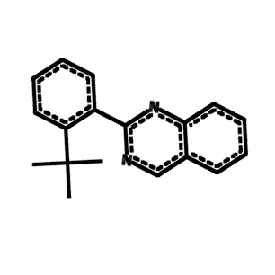 CC(C)(C)c1ccccc1-c1ncc2ccccc2n1